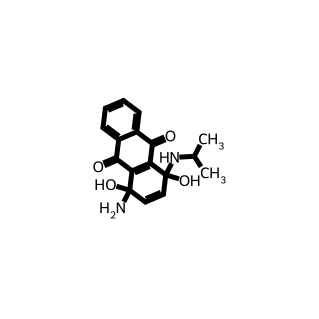 CC(C)NC1(O)C=CC(N)(O)C2=C1C(=O)c1ccccc1C2=O